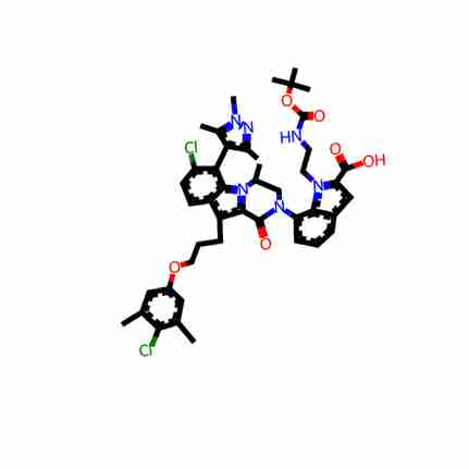 Cc1cc(OCCCc2c3n(c4c(-c5c(C)nn(C)c5C)c(Cl)ccc24)C(C)CN(c2cccc4cc(C(=O)O)n(CCNC(=O)OC(C)(C)C)c24)C3=O)cc(C)c1Cl